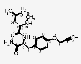 C#CCOc1ccc(C[C@H](NC(=O)[C@H](CC(C)C)NC)C(N)=O)cc1